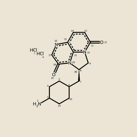 Cl.Cl.NC1CCC(C[C@@H]2Cn3c(=O)ccc4ncc(=O)n2c43)CC1